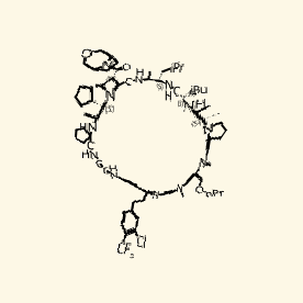 CCCOCC1=CN(C)C=CN=C(CCc2ccc(C(F)(F)F)c(Cl)c2)C=CNCCNCC2(CCCC2)NC(C)[C@H](C2CCCC2)N2C(C)[C@H](C(=O)N3C4CCC3COC4)C2CNC(C)[C@H](CC(C)C)NC[C@H]([C@@H](C)CC)NC(C)[C@H](C)N2CCCC2=CN1C